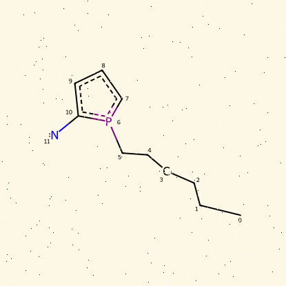 CCCCCCp1cccc1[N]